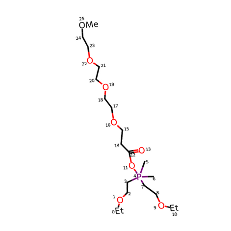 CCOCCP(C)(C)(CCOCC)OC(=O)CCOCCOCCOCCOC